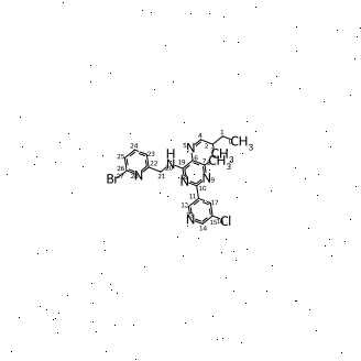 CCC(C)/C=N\c1c(C)nc(-c2cncc(Cl)c2)nc1NCc1cccc(Br)n1